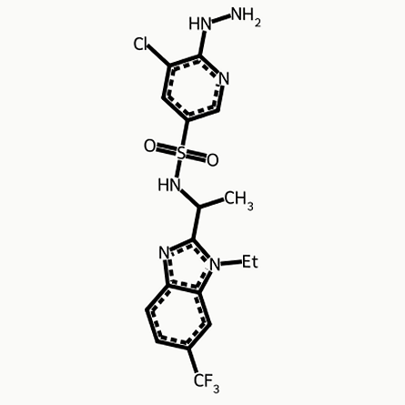 CCn1c(C(C)NS(=O)(=O)c2cnc(NN)c(Cl)c2)nc2ccc(C(F)(F)F)cc21